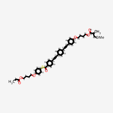 C=CC(=O)OCCCCOc1ccc(SC(=O)c2ccc(C#Cc3ccc(C#Cc4ccc(OCCCCOC(=O)C(=C)COC)cc4)cc3)cc2)cc1